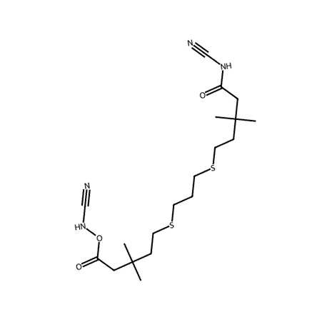 CC(C)(CCSCCCSCCC(C)(C)CC(=O)ONC#N)CC(=O)NC#N